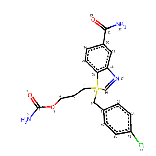 NC(=O)OCCCS1(Cc2ccc(Cl)cc2)C=Nc2cc(C(N)=O)ccc21